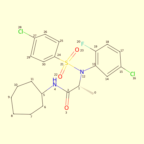 C[C@H](C(=O)NC1CCCCCC1)N(c1cc(Cl)ccc1F)S(=O)(=O)c1ccc(Cl)cc1